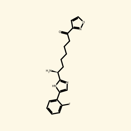 N[C@@H](CCCCCC(=O)c1ccon1)c1ncc(-c2ccccc2F)[nH]1